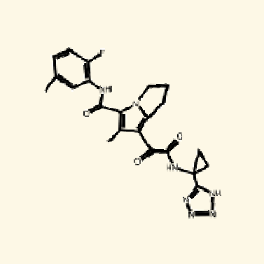 Cc1ccc(F)c(NC(=O)c2c(C)c(C(=O)C(=O)NC3(c4nnn[nH]4)CC3)c3n2CCC3)c1